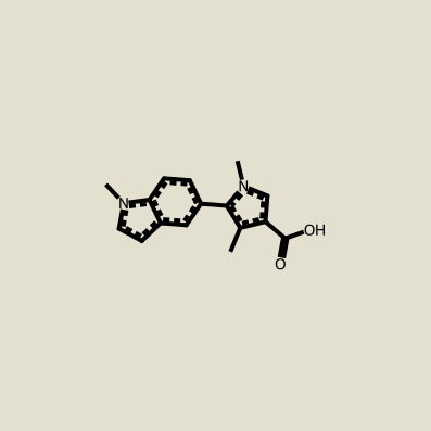 Cc1c(C(=O)O)cn(C)c1-c1ccc2c(ccn2C)c1